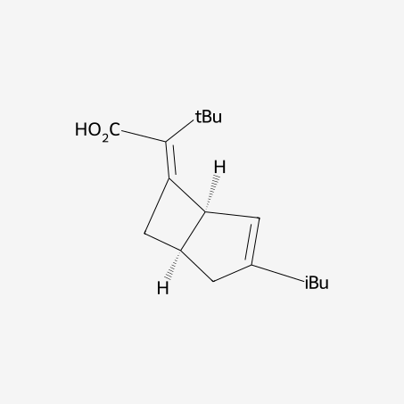 CCC(C)C1=C[C@@H]2/C(=C(/C(=O)O)C(C)(C)C)C[C@@H]2C1